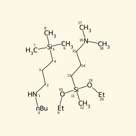 CCCCNCCC[Si](C)(C)C.CCO[Si](C)(CCCN(C)C)OCC